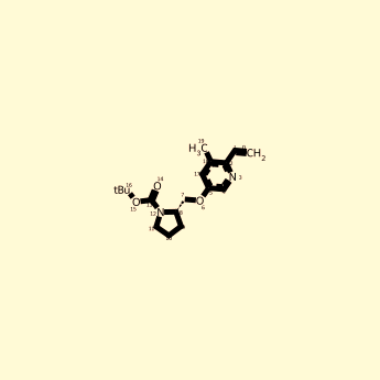 C=Cc1ncc(OC[C@@H]2CCCN2C(=O)OC(C)(C)C)cc1C